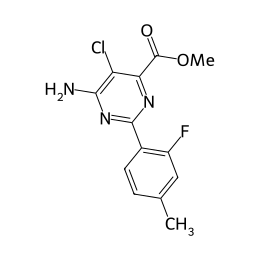 COC(=O)c1nc(-c2ccc(C)cc2F)nc(N)c1Cl